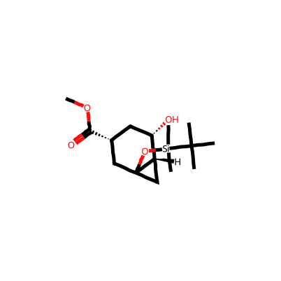 COC(=O)[C@@H]1C[C@H](O)[C@@H]2CC2(O[Si](C)(C)C(C)(C)C)C1